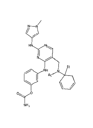 CCC1(N(Cc2cnc(Nc3cnn(C)c3)nc2Nc2cccc(OC(N)=O)c2)C(C)=O)C=CC=CC1